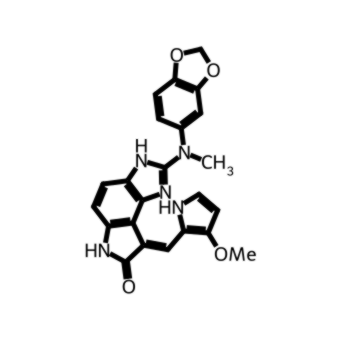 COc1cc[nH]c1/C=C1/C(=O)Nc2ccc3[nH]c(N(C)c4ccc5c(c4)OCO5)nc3c21